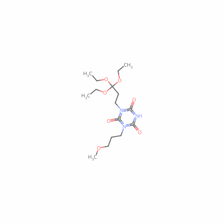 CCOC(CCn1c(=O)[nH]c(=O)n(CCCOC)c1=O)(OCC)OCC